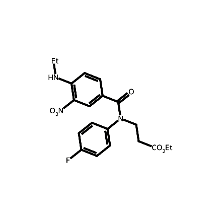 CCNc1ccc(C(=O)N(CCC(=O)OCC)c2ccc(F)cc2)cc1[N+](=O)[O-]